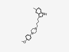 COc1ccc(N2CCN(CCCCc3c[nH]c4ccc(C)cc34)CC2)cc1